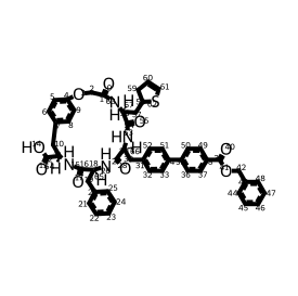 O=C1COc2ccc(cc2)C[C@@H](C(=O)O)NC(=O)[C@H](Cc2ccccc2)NC(=O)[C@H](Cc2ccc(-c3ccc(C(=O)OCc4ccccc4)cc3)cc2)NC(=O)[C@H](CC2CC=CS2)N1